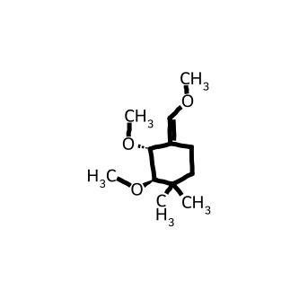 COC=C1CCC(C)(C)[C@@H](OC)[C@@H]1OC